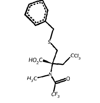 CN(C(=O)C(F)(F)F)[C@](CSCc1ccccc1)(CC(Cl)(Cl)Cl)C(=O)O